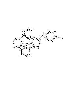 Fc1ccc(Nc2ccc3c(c2)C2(c4ccccc4-c4ccccc42)c2ccccc2-3)cc1